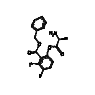 C[C@H](N)C(=O)Oc1ccc(F)c(F)c1C(=O)OCc1ccccc1